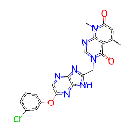 Cc1cc(=O)n(C)c2ncn(Cc3nc4ncc(Oc5cccc(Cl)c5)nc4[nH]3)c(=O)c12